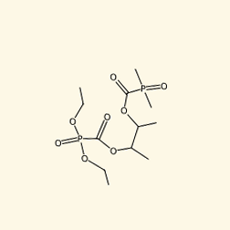 CCOP(=O)(OCC)C(=O)OC(C)C(C)OC(=O)P(C)(C)=O